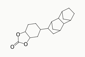 O=C1OC2CCC(C3CC4CC3C3C5CCC(C5)C43)CC2O1